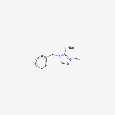 CCCCCCCCCc1n(Cc2ccccc2)cc[n+]1CC